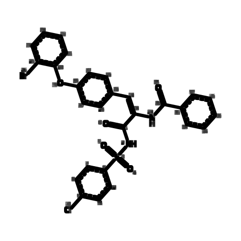 O=C(NS(=O)(=O)c1ccc(Cl)cc1)/C(=C\c1ccc(Oc2ccccc2Br)cc1)NC(=O)c1ccccc1